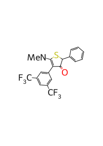 CNC1=C(c2cc(C(F)(F)F)cc(C(F)(F)F)c2)C(=O)C(c2ccccc2)S1